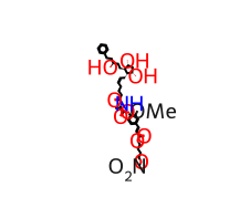 COc1cc(/C=C/C(=O)OCCCCO[N+](=O)[O-])ccc1OC(=O)C(C)NC(=O)CCC/C=C\C[C@@H]1[C@@H](CC[C@@H](O)CCc2ccccc2)[C@H](O)C[C@@H]1O